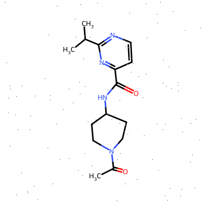 CC(=O)N1CCC(NC(=O)c2ccnc(C(C)C)n2)CC1